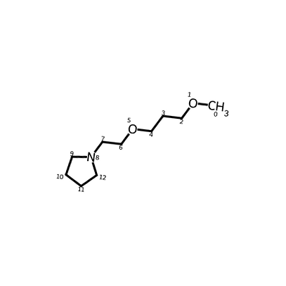 COCCCOCCN1CCCC1